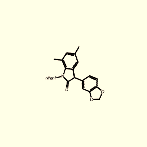 CCCCCN1C(=O)C(c2ccc3c(c2)OCO3)c2cc(C)cc(C)c21